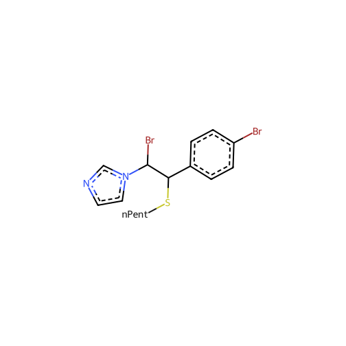 CCCCCSC(c1ccc(Br)cc1)C(Br)n1ccnc1